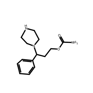 NC(=O)OCCC(c1ccccc1)N1CCNCC1